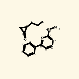 CCCC1CC1=O.NNc1nncc(-c2ccccc2)n1